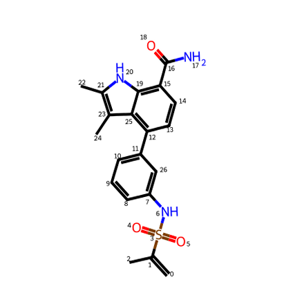 C=C(C)S(=O)(=O)Nc1cccc(-c2ccc(C(N)=O)c3[nH]c(C)c(C)c23)c1